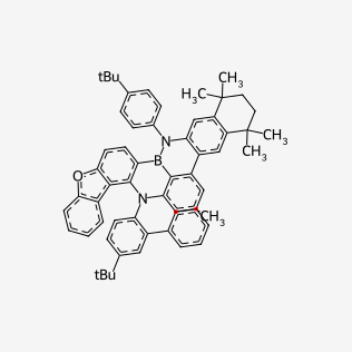 Cc1cc2c3c(c1)N(c1ccc(C(C)(C)C)cc1-c1ccccc1)c1c(ccc4oc5ccccc5c14)B3N(c1ccc(C(C)(C)C)cc1)c1cc3c(cc1-2)C(C)(C)CCC3(C)C